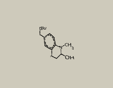 CN1c2ccc(CC(C)(C)C)cc2[C]CC1O